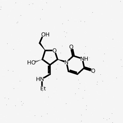 CCNC=C1[C@H](n2ccc(=O)[nH]c2=O)O[C@H](CO)[C@H]1O